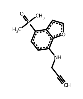 C#CCNc1ccc(P(C)(C)=O)c2ccoc12